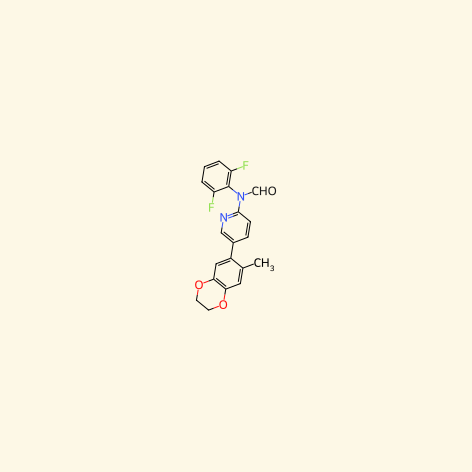 Cc1cc2c(cc1-c1ccc(N(C=O)c3c(F)cccc3F)nc1)OCCO2